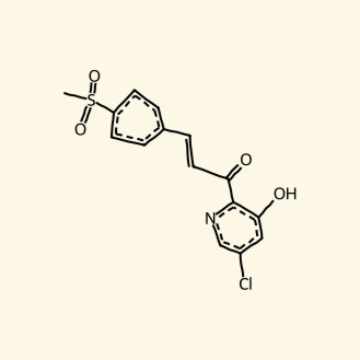 CS(=O)(=O)c1ccc(C=CC(=O)c2ncc(Cl)cc2O)cc1